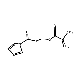 C=C(C)C(=O)OCOC(=O)n1ccnc1